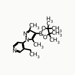 CCc1cnccc1-n1nc(C)c(B2OC(C)(C)C(C)(C)O2)c1C